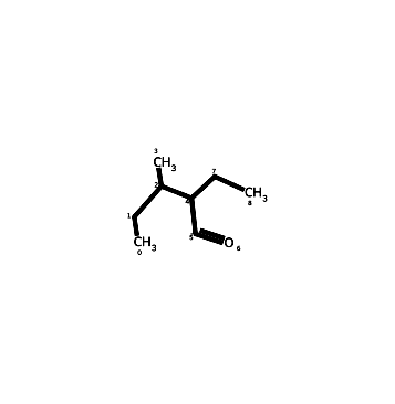 CCC(C)C([C]=O)CC